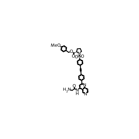 COc1ccc(COC(=O)[C@H]2CCCN2S(=O)(=O)c2ccc(C#Cc3ccc(-c4cc(NC(=O)CN)c5cnccc5n4)cc3)cc2)cc1